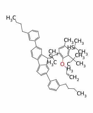 C=CCOc1c([Si](C)(C)C2c3cc(-c4cccc(CCCC)c4)ccc3-c3ccc(-c4cccc(CCCC)c4)cc32)cc(C)c([SiH](C)C)c1C(C)(C)C